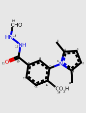 Cc1ccc(C)n1-c1cc(C(=O)NNC=O)ccc1C(=O)O